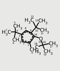 Cc1cc(C(C)(C)C)cc(C(C)(C)C)c1OC(C)(C)C